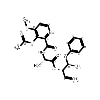 C=C[C@H](OC(=O)[C@H](C)NC(=O)c1nccc(OC)c1OC(C)=O)[C@H](C)Oc1ccccc1